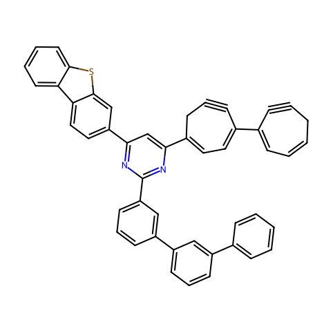 C1#CC(C2=CC=C(c3cc(-c4ccc5c(c4)sc4ccccc45)nc(-c4cccc(-c5cccc(-c6ccccc6)c5)c4)n3)CC#C2)=CC=CC1